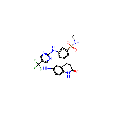 CNS(=O)(=O)c1cccc(Nc2ncc(C(F)(F)F)c(Nc3ccc4c(c3)CCC(=O)N4)n2)c1